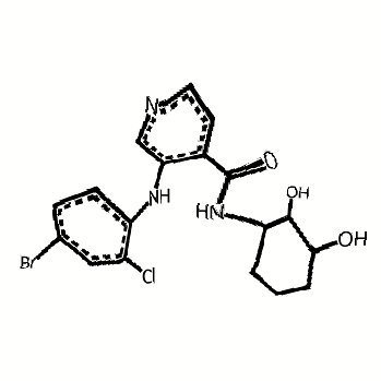 O=C(NC1CCCC(O)C1O)c1ccncc1Nc1ccc(Br)cc1Cl